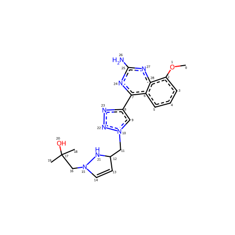 COc1cccc2c(-c3cn(CC4C=CN(CC(C)(C)O)N4)nn3)nc(N)nc12